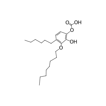 CCCCCCCCOc1c(CCCCCC)ccc(OC(=O)O)c1O